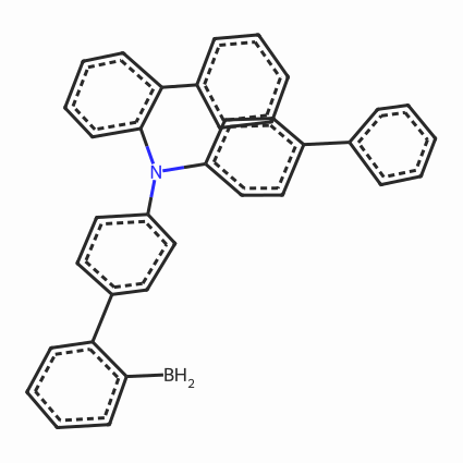 Bc1ccccc1-c1ccc(N(c2ccc(-c3ccccc3)cc2)c2ccccc2-c2ccccc2)cc1